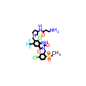 CCS(=O)(=O)c1ccc(Cl)cc1Cn1c(=O)[nH]c2c(Cl)c(CN3CCC(NC(=O)CCN)C3)c(C(F)(F)F)cc2c1=O